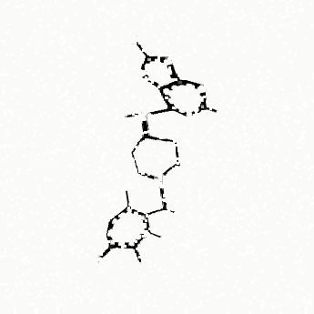 [2H]c1nc(N([2H])C2CCN(C([2H])c3c([2H])cc([2H])c(C#N)c3[2H])CC2)c2sc(Cl)nc2n1